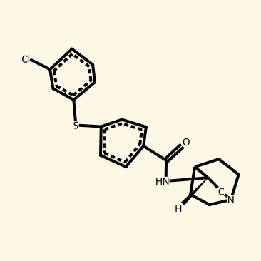 O=C(N[C@H]1CN2CCC1CC2)c1ccc(Sc2cccc(Cl)c2)cc1